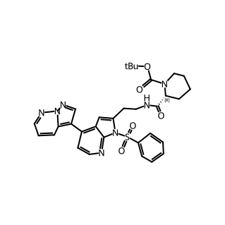 CC(C)(C)OC(=O)N1CCCC[C@@H]1C(=O)NCCc1cc2c(-c3cnn4ncccc34)ccnc2n1S(=O)(=O)c1ccccc1